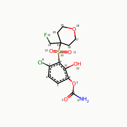 NC(=O)Oc1ccc(Cl)c(S(=O)(=O)C2(CF)CCOCC2)c1O